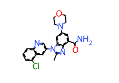 Cc1nc2c(C(N)=O)cc(N3CCOCC3)cc2n1-c1cnc2cccc(Cl)c2c1